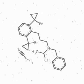 CC#N.CC(C)N(CCCc1c(C2(Br)CC2)cccc1C1(Br)CC1)Cc1ccccc1